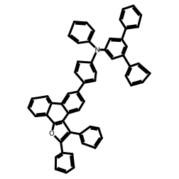 c1ccc(-c2cc(-c3ccccc3)cc(N(c3ccccc3)c3ccc(-c4ccc5c(c4)c4ccccc4c4oc(-c6ccccc6)c(-c6ccccc6)c54)cc3)c2)cc1